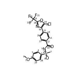 COc1ccc(S(C)(=O)=NC(=O)c2ccc(-c3nc(C(F)(F)F)oc3Cl)cc2)cc1